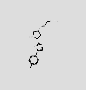 COCCO[C@@H]1CN[C@H](c2ncc(-c3ccc(Br)cc3)[nH]2)C1